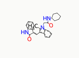 Cc1c(C=C2C(=O)Nc3ccccc32)c2ccccc2n1CC(=O)NC1CCCCC1